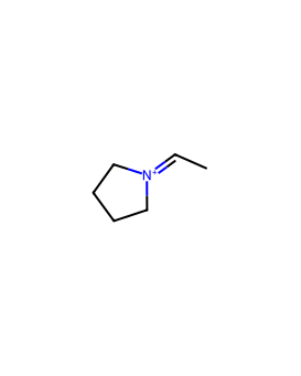 CC=[N+]1CCCC1